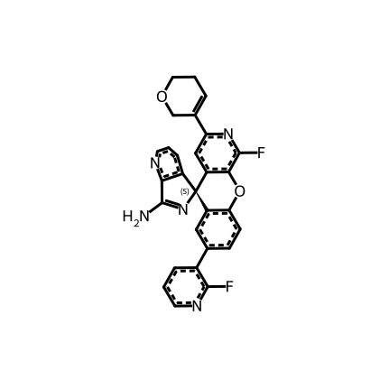 NC1=N[C@]2(c3cc(-c4cccnc4F)ccc3Oc3c2cc(C2=CCCOC2)nc3F)c2cccnc21